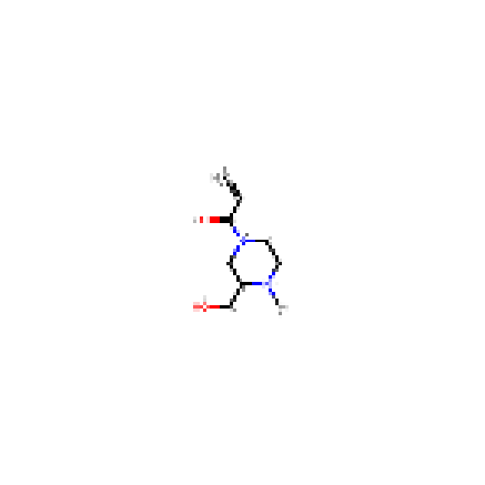 C=CC(=O)N1CCN(C(C)C)C(CO)C1